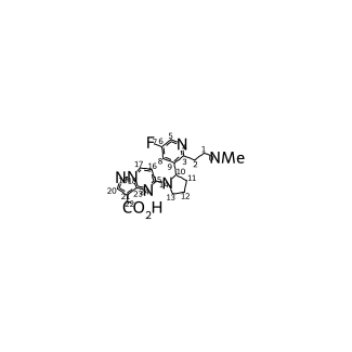 CNCCc1ncc(F)cc1C1CCCN1c1ccn2ncc(C(=O)O)c2n1